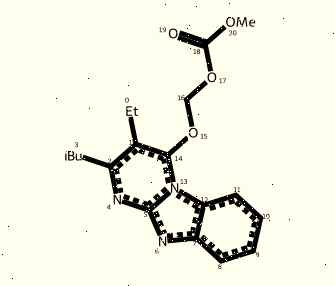 CCc1c(C(C)CC)nc2nc3ccccc3n2c1OCOC(=O)OC